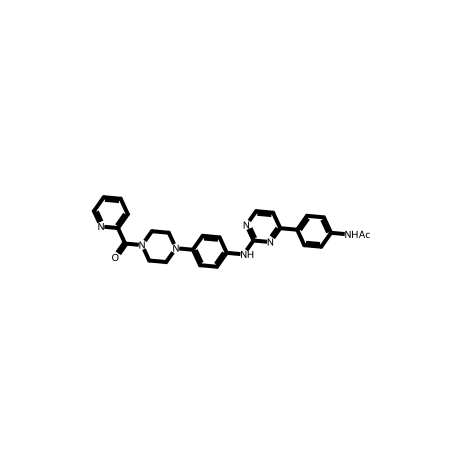 CC(=O)Nc1ccc(-c2ccnc(Nc3ccc(N4CCN(C(=O)c5ccccn5)CC4)cc3)n2)cc1